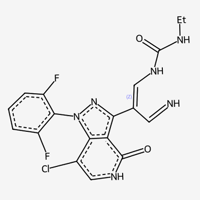 CCNC(=O)N/C=C(\C=N)c1nn(-c2c(F)cccc2F)c2c(Cl)c[nH]c(=O)c12